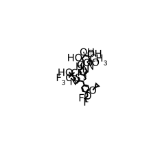 C[C@]1(C(N)=O)O[C@@H](Oc2ccc(C[C@@H](c3ccc(OC(F)F)c(OC4CC4)c3)c3cnc(C(O)(C(F)(F)F)C(F)(F)F)s3)cn2)[C@H](O)[C@@H](O)[C@@H]1O